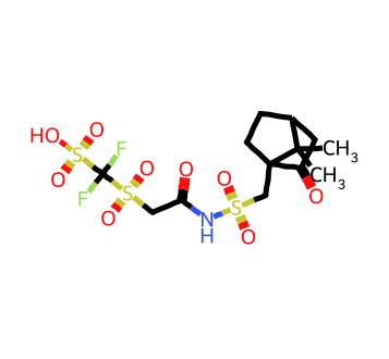 CC1(C)C2CCC1(CS(=O)(=O)NC(=O)CS(=O)(=O)C(F)(F)S(=O)(=O)O)C(=O)C2